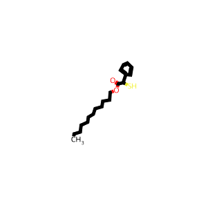 CCCCCCCCCCCCOC(=O)C(S)c1ccccc1